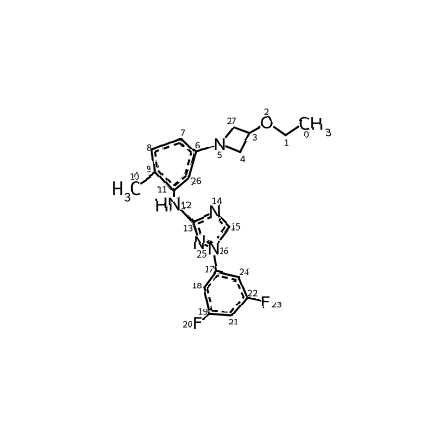 CCOC1CN(c2ccc(C)c(Nc3ncn(-c4cc(F)cc(F)c4)n3)c2)C1